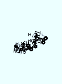 CC(C)(C)OC(=O)C1CC(NCc2cccn2Cc2cccc3c2-c2ccccc2C3COC(=O)N2CC(NCc3ccc[nH]3)(C(=O)O)CC2C(=O)OC(C)(C)C)(C(=O)O)CN1C(=O)OCC1c2ccccc2-c2ccccc21